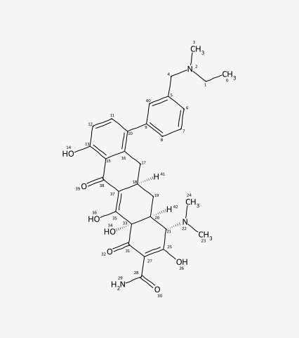 CCN(C)Cc1cccc(-c2ccc(O)c3c2C[C@H]2C[C@H]4[C@H](N(C)C)C(O)=C(C(N)=O)C(=O)[C@@]4(O)C(O)=C2C3=O)c1